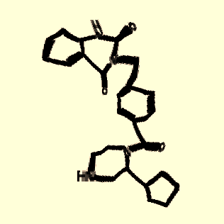 O=C(c1ccc(Cn2c(=O)[nH]c3ccccc3c2=O)cc1)N1CCNCC1C1CCCC1